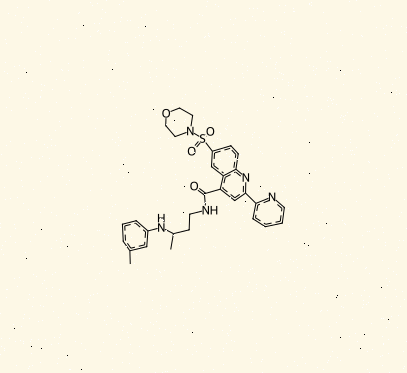 Cc1cccc(NC(C)CCNC(=O)c2cc(-c3ccccn3)nc3ccc(S(=O)(=O)N4CCOCC4)cc23)c1